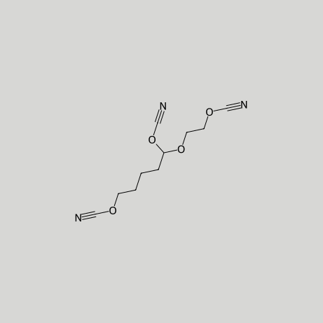 N#COCCCCC(OC#N)OCCOC#N